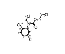 O=C(OCCCl)N(CCl)c1cc(Cl)ccc1Cl